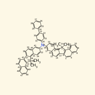 CC1(C)c2c(ccc3ccccc23)-c2ccc3cc(N(c4ccc(-c5ccccc5)cc4)c4ccc5c6c(ccc5c4)-c4ccc5ccccc5c4C6(C)C)ccc3c21